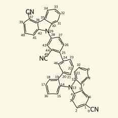 N#Cc1ccc2c(c1)c1ccccc1n2-c1ccccc1-c1cccc(-c2ccc(-n3c4ccccc4c4c(C#N)cccc43)cc2C#N)c1